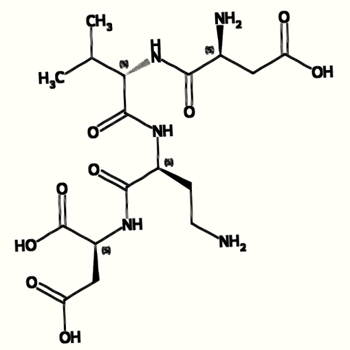 CC(C)[C@H](NC(=O)[C@@H](N)CC(=O)O)C(=O)N[C@@H](CCN)C(=O)N[C@@H](CC(=O)O)C(=O)O